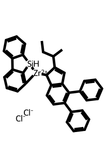 CCC(C)C1=Cc2c(ccc(-c3ccccc3)c2-c2ccccc2)[CH]1[Zr+2]1[c]2cccc3c2[SiH]1c1ccccc1-3.[Cl-].[Cl-]